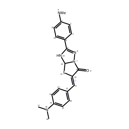 CNc1ccc(C2=NN3C(=O)/C(=C/c4ccc(N(C)C)cc4)SC3N2)cc1